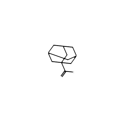 O=C(Br)C12CC3CC(CC(C3)C1)C2